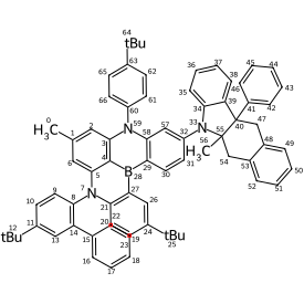 Cc1cc2c3c(c1)N(c1ccc(C(C)(C)C)cc1-c1ccccc1)c1ccc(C(C)(C)C)cc1B3c1ccc(N3c4ccccc4C4(c5ccccc5)Cc5ccccc5CC34C)cc1N2c1ccc(C(C)(C)C)cc1